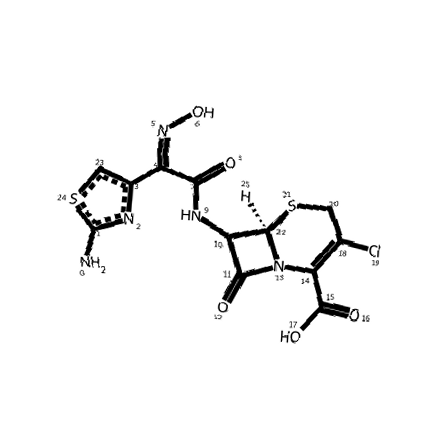 Nc1nc(/C(=N/O)C(=O)NC2C(=O)N3C(C(=O)O)=C(Cl)CS[C@H]23)cs1